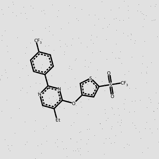 CCc1cnc(-c2ccc(C(F)(F)F)cc2)nc1Oc1csc(S(=O)(=O)C(F)(F)F)c1